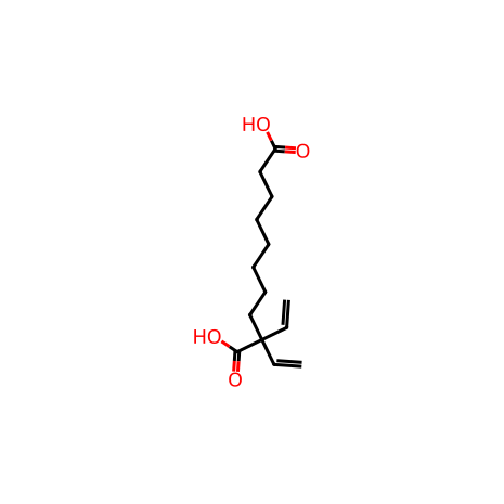 C=CC(C=C)(CCCCCCCC(=O)O)C(=O)O